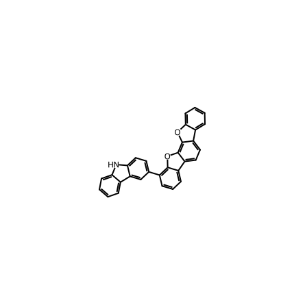 c1ccc2c(c1)[nH]c1ccc(-c3cccc4c3oc3c4ccc4c5ccccc5oc43)cc12